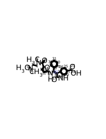 CN(C)CCN(C)C(=O)c1ccc(N/C(=C2\C(=O)Nc3cc(C(=O)O)ccc32)c2ccccc2)o1